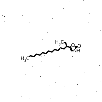 CCCCCCCCCCCCCC(CC)c1c[nH]c(=O)o1